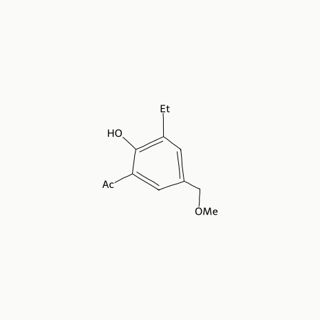 CCc1cc(COC)cc(C(C)=O)c1O